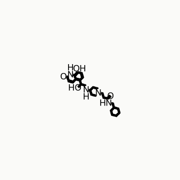 O=C(CCN1CCC(NCC(O)c2ccc(O)c3[nH]c(=O)ccc23)CC1)NCC1CCCCC1